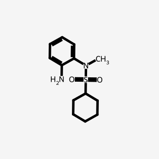 CN(c1ccccc1N)S(=O)(=O)C1CCCCC1